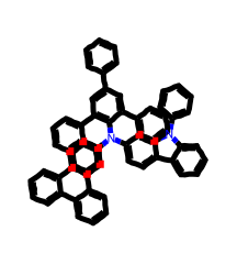 c1ccc(-c2cc(-c3ccccc3)c(N(c3ccc(-c4ccccc4-c4ccccc4-c4ccccc4)cc3)c3ccc4c5ccccc5n(-c5ccccc5)c4c3)c(-c3ccccc3)c2)cc1